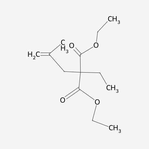 C=C(C)CC(CC)(C(=O)OCC)C(=O)OCC